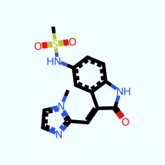 Cn1ccnc1/C=C1/C(=O)Nc2ccc(NS(C)(=O)=O)cc21